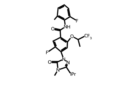 Cc1cccc(F)c1NC(=O)c1cc(F)c(-n2nc(C(C)C)n(C)c2=O)cc1OC(C)C(F)(F)F